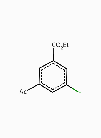 CCOC(=O)c1cc(F)cc(C(C)=O)c1